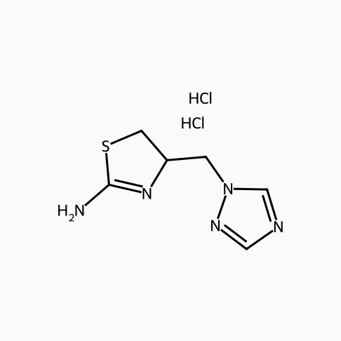 Cl.Cl.NC1=NC(Cn2cncn2)CS1